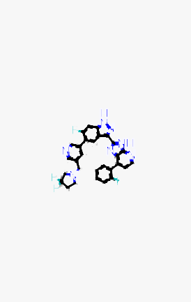 Fc1cc2[nH]nc(-c3nc4c(-c5ccccc5F)ccnc4[nH]3)c2cc1-c1cncc(CN2CCC(F)(F)C2)c1